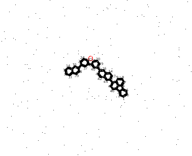 c1ccc2c(c1)-c1cccc3c(-c4ccc5cc(-c6ccc7oc8ccc(-c9ccc%10ccccc%10c9)cc8c7c6)ccc5c4)ccc-2c13